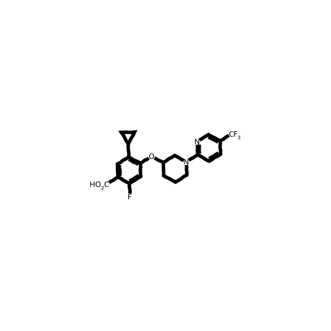 O=C(O)c1cc(C2CC2)c(OC2CCCN(c3ccc(C(F)(F)F)cn3)C2)cc1F